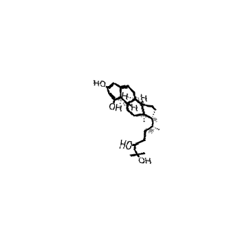 C[C@H](CCC(O)C(C)(C)O)[C@H]1CC[C@H]2[C@@H]3CC=C4C=C(O)C=C(O)[C@]4(C)[C@H]3CC[C@]12C